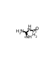 N=C(N)N[PH2]=O